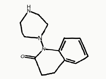 O=C1CCc2ccccc2N1N1CCNCC1